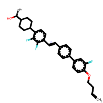 C=CCCOc1ccc(-c2ccc(/C=C/c3ccc(C4CCC(C(O)CCC)CC4)c(F)c3F)cc2)cc1F